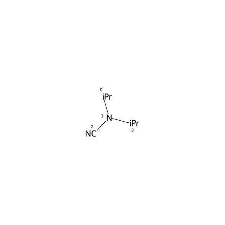 CC(C)N(C#N)C(C)C